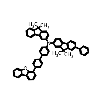 CC1(C)c2ccccc2-c2cc(N(c3ccc(-c4ccc(-c5cccc6c5oc5ccccc56)cc4)cc3)c3ccc4c(c3)C(C)(C)c3cc(-c5ccccc5)ccc3-4)ccc21